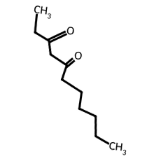 CCCCCCC(=O)CC(=O)CC